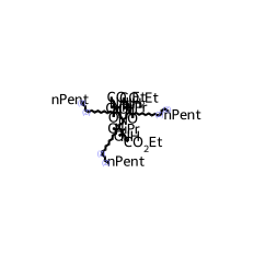 CCCCC/C=C\C/C=C\CCCCCCCC(=O)N(CCN(CCN(C(=O)CCCCCCC/C=C\C/C=C\CCCCC)C(C(=O)NCC(=O)OCC)C(C)C)CCN(C(=O)CCCCCCC/C=C\C/C=C\CCCCC)C(C(=O)NCC(=O)OCC)C(C)C)C(C(=O)NCC(=O)OCC)C(C)C